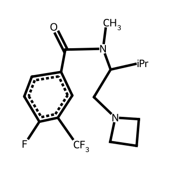 CC(C)C(CN1CCC1)N(C)C(=O)c1ccc(F)c(C(F)(F)F)c1